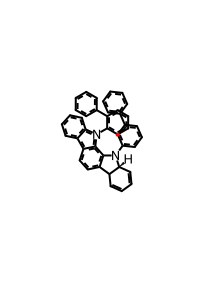 C1=CC2c3ccc4c5ccccc5n(-c5ccccc5-c5ccccc5)c4c3N(c3cccc(-c4ccccc4)c3)[C@@H]2C=C1